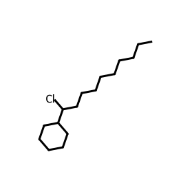 CCCCCCCCCC(Cl)C1CCCCC1